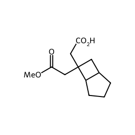 COC(=O)CC1(CC(=O)O)CC2CCCC21